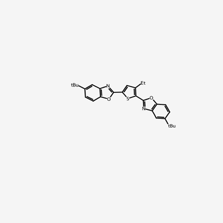 CCc1cc(-c2nc3cc(C(C)(C)C)ccc3o2)sc1-c1nc2cc(C(C)(C)C)ccc2o1